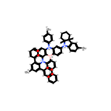 Cc1cc2c3c(c1)N(c1c(-c4ccccc4)cc(C(C)(C)C)cc1-c1ccccc1)c1cc(-c4ccccc4)ccc1B3c1ccc(N3c4ccc(C(C)(C)C)cc4C4(C)CCCCC34C)cc1N2c1ccc(C(C)(C)C)cc1